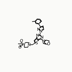 Cc1cccc(-c2ccn(-c3nc(N4CC5CC4CO5)c4sc(CN5CCN(S(C)(=O)=O)CC5)cc4n3)n2)c1